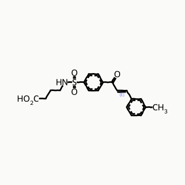 Cc1cccc(/C=C/C(=O)c2ccc(S(=O)(=O)NCCCC(=O)O)cc2)c1